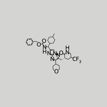 CC1CCC([C@H](NC(=O)OCc2ccccc2)c2cn3nc(C[C@H]4C[C@H](C(F)(F)F)CNC4=O)c(C4CCOCC4)nc3n2)CC1